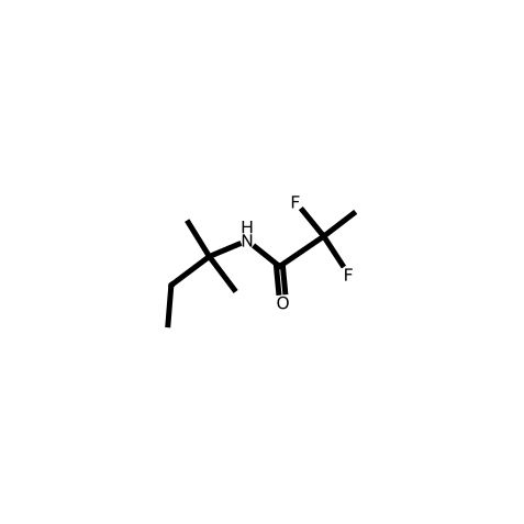 CCC(C)(C)NC(=O)C(C)(F)F